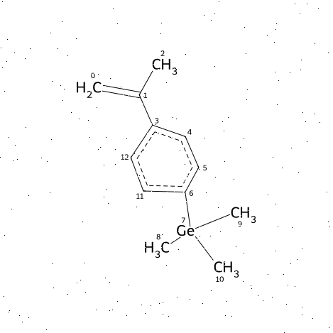 C=C(C)c1cc[c]([Ge]([CH3])([CH3])[CH3])cc1